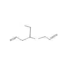 C=CCOC(CO)CC=C